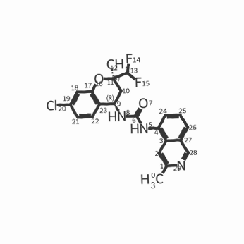 Cc1cc2c(NC(=O)N[C@@H]3C[C@](C)(C(F)F)Oc4cc(Cl)ccc43)cccc2cn1